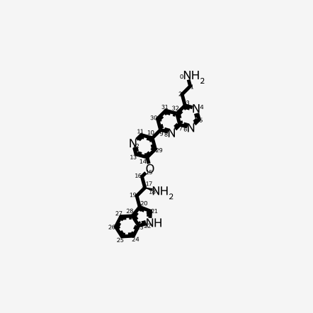 NCCc1ncnc2nc(-c3cncc(OC[C@@H](N)Cc4c[nH]c5ccccc45)c3)ccc12